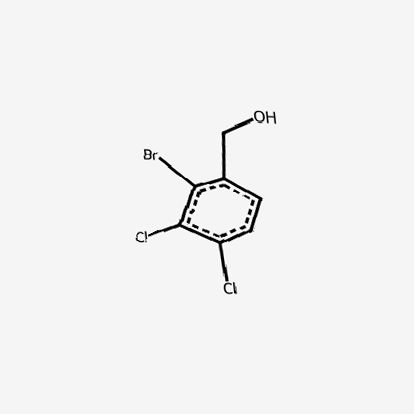 OCc1ccc(Cl)c(Cl)c1Br